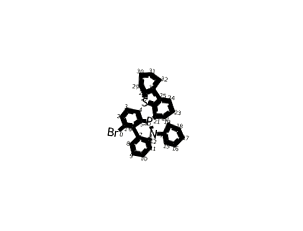 Brc1cccc2c1-c1ccccc1N(c1ccccc1)P2c1cccc2c1sc1ccccc12